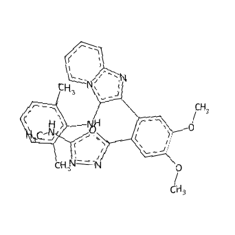 CNc1nnc(-c2cc(OC)c(OC)cc2-c2nc3ccccn3c2Nc2c(C)cccc2C)o1